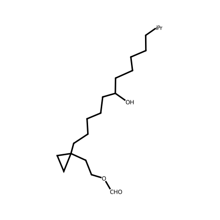 CC(C)CCCCCC(O)CCCCCC1(CCOC=O)CC1